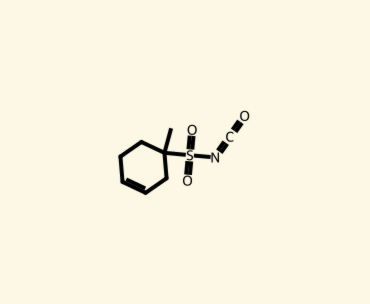 CC1(S(=O)(=O)N=C=O)CC=CCC1